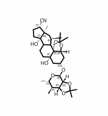 C[C@@H]1[C@H]2OC(C)(C)O[C@H]2[C@H](O[C@H]2C[C@H]3OC(C)(C)OC[C@]34C3C(CC[C@]4(O)C2)[C@@]2(O)CC[C@H](C#N)[C@@]2(C)C[C@H]3C)O[C@H]1C